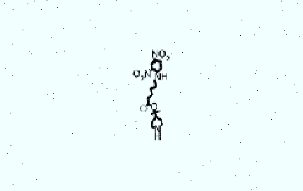 CC(C)(OC(=O)CCCCCNc1ccc([N+](=O)[O-])cc1[N+](=O)[O-])C1CCNCC1